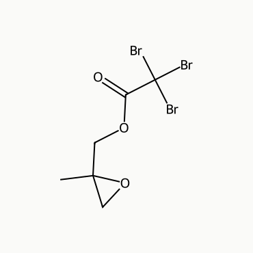 CC1(COC(=O)C(Br)(Br)Br)CO1